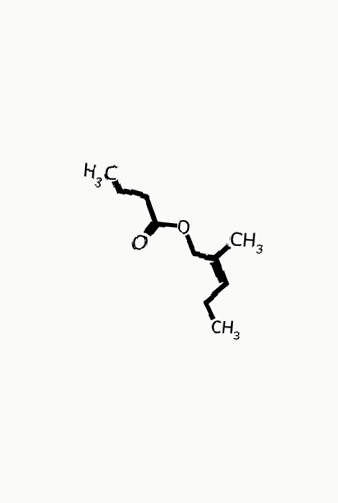 CCC=C(C)COC(=O)CCC